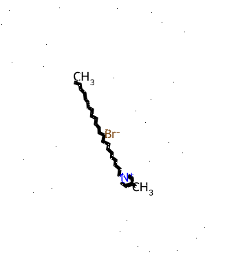 CCCCCCCCCCCCCCCCCCCCCCCC[n+]1ccc(C)cc1.[Br-]